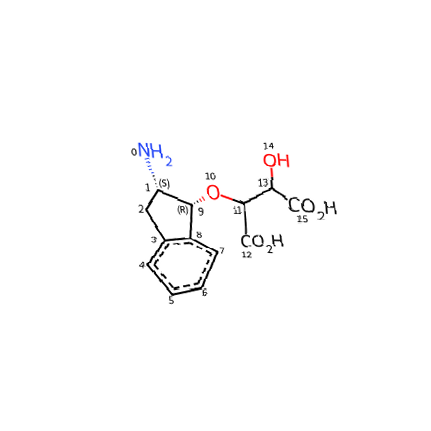 N[C@H]1Cc2ccccc2[C@H]1OC(C(=O)O)C(O)C(=O)O